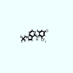 Cc1cc(Cl)cc(C(F)(F)F)c1Nc1nccc2c1ccn2CC(C)(F)F